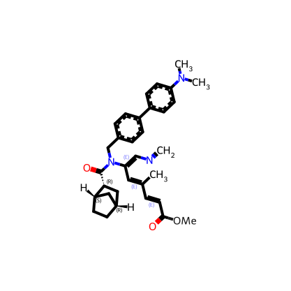 C=N\C=C(/C=C(C)/C=C/C(=O)OC)N(Cc1ccc(-c2ccc(N(C)C)cc2)cc1)C(=O)[C@@H]1C[C@@H]2CC[C@H]1C2